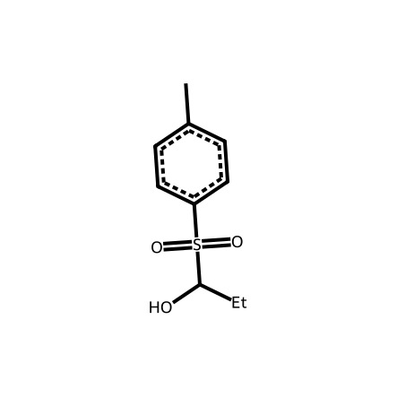 CCC(O)S(=O)(=O)c1ccc(C)cc1